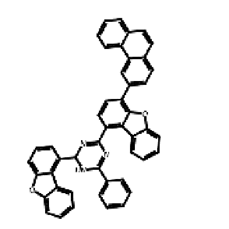 c1ccc(C2=NC(c3ccc(-c4ccc5ccc6ccccc6c5c4)c4oc5ccccc5c34)=NC(c3cccc4oc5ccccc5c34)N2)cc1